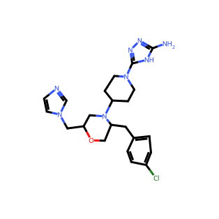 Nc1nnc(N2CCC(N3CC(Cn4ccnc4)OCC3Cc3ccc(Cl)cc3)CC2)[nH]1